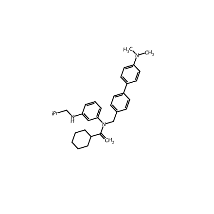 C=C(C1CCCCC1)N(Cc1ccc(-c2ccc(N(C)C)cc2)cc1)c1cccc(NCC(C)C)c1